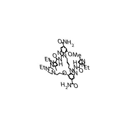 CCN1CCN(CCCOc2cc(C(N)=O)cc3nc(NC(=O)c4cc(C)nn4CC)n(C/C=C/Cn4c(NC(=O)c5cc(C)nn5CC)nc5cc(C(N)=O)cc(OC)c54)c23)CC1